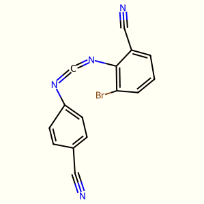 N#Cc1ccc(N=C=Nc2c(Br)cccc2C#N)cc1